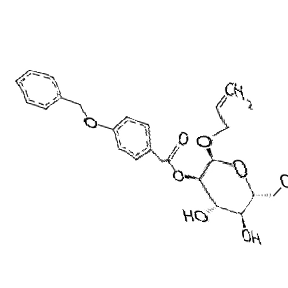 C=CCO[C@H]1O[C@H](CO)[C@@H](O)[C@H](O)[C@H]1OC(=O)c1ccc(OCc2ccccc2)cc1